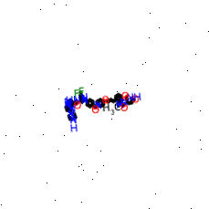 Cn1c(=O)n(C2CCC(=O)NC2=O)c2cccc(CCCOC3CCN(C(=O)[C@H]4CC[C@H](n5cc(NC(=O)c6cnn7ccc(N8CCNCC8)nc67)c(C(F)F)n5)CC4)CC3)c21